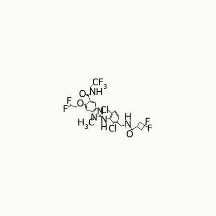 Cn1c(Nc2c(Cl)ccc(CNC(=O)C3CC(F)(F)C3)c2Cl)nc2cc(C(=O)NCC(F)(F)F)c(OCC(F)F)cc21